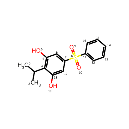 CC(C)c1c(O)cc(S(=O)(=O)c2ccccc2)cc1O